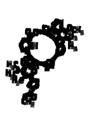 C=CC(=O)N1CCC(C(=O)N(C)[C@H](C(=O)N[C@H]2Cc3nnc(o3)-c3ccc4c(c3)c(c(-c3cccnc3[C@H](C)OC)n4CC)CC(C)(C)COC(=O)[C@@H]3CCCN(N3)C2=O)C(C)C)C1